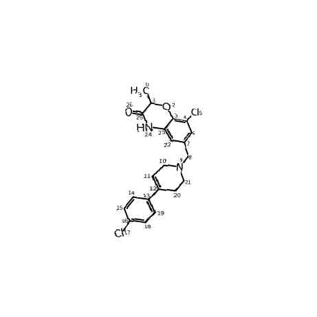 CC1Oc2c(Cl)cc(CN3CC=C(c4ccc(Cl)cc4)CC3)cc2NC1=O